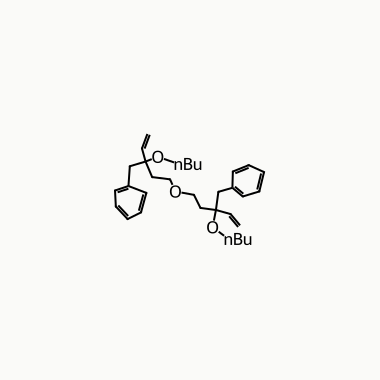 C=CC(CCOCCC(C=C)(Cc1ccccc1)OCCCC)(Cc1ccccc1)OCCCC